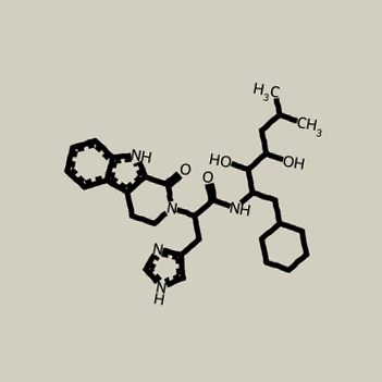 CC(C)CC(O)C(O)C(CC1CCCCC1)NC(=O)C(Cc1c[nH]cn1)N1CCc2c([nH]c3ccccc23)C1=O